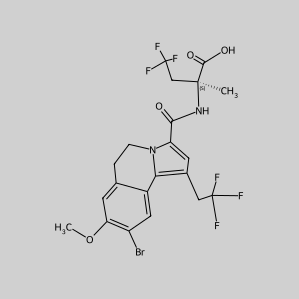 COc1cc2c(cc1Br)-c1c(CC(F)(F)F)cc(C(=O)N[C@@](C)(CC(F)(F)F)C(=O)O)n1CC2